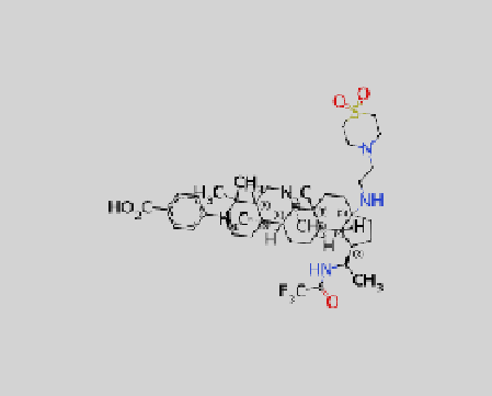 CC(NC(=O)C(F)(F)F)[C@@H]1CC[C@]2(NCCN3CCS(=O)(=O)CC3)CC[C@]3(C)[C@H](CC[C@@H]4[C@@]5(C)CC=C(c6ccc(C(=O)O)cc6)C(C)(C)[C@@H]5CC[C@]43C)[C@@H]12